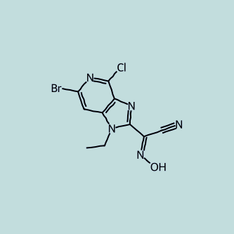 CCn1c(/C(C#N)=N/O)nc2c(Cl)nc(Br)cc21